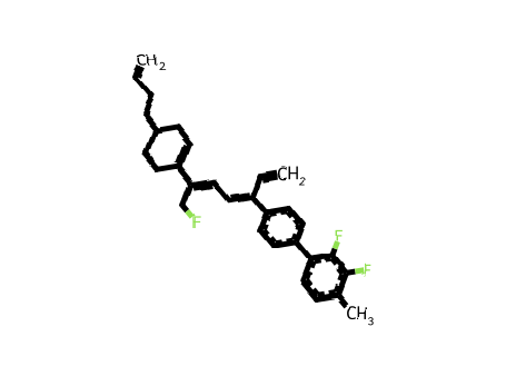 C=CCCC1CC=C(/C(=C/C=C(\C=C)c2ccc(-c3ccc(C)c(F)c3F)cc2)CF)CC1